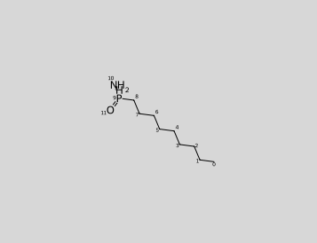 CCCCCCCCC[PH](N)=O